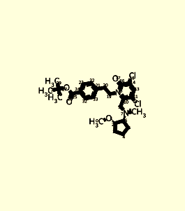 CO[C@H]1CCC[C@@H]1N(C)Cc1c(Cl)cc(Cl)c(=O)n1CCc1ccc(C(=O)OC(C)(C)C)cc1